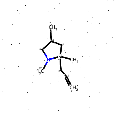 C=CC[Si]1(C)CC(C)CN1C